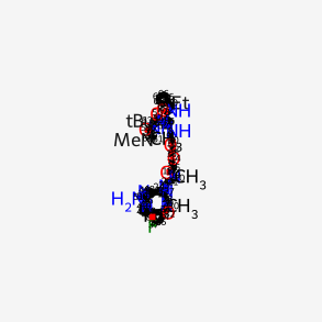 CC[C@H](NC(=O)[C@H]1C[C@@H](NCCOCCOCCC(=O)N(C)CCn2cc3c(n2)CN(C)C(=O)c2ccc(F)cc2[C@H]2CCCN2c2cc-3cnc2N)CN1C(=O)C(NC(=O)[C@@H](C)NC)C(C)(C)C)c1ccccc1